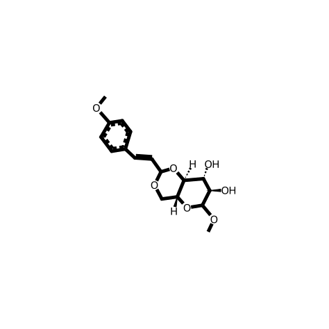 COc1ccc(/C=C/C2OC[C@H]3OC(OC)[C@H](O)[C@@H](O)[C@@H]3O2)cc1